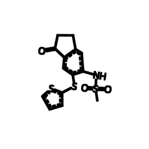 CS(=O)(=O)Nc1cc2c(cc1Sc1cccs1)C(=O)CC2